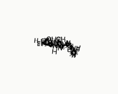 CCN(Cc1cc(Nc2nc(C)cn3c(-c4cnn(CC(=O)Nc5ccncc5F)c4)cnc23)sn1)C(C)(C)CO